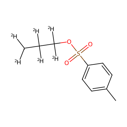 [2H][C]([2H])C([2H])([2H])C([2H])([2H])OS(=O)(=O)c1ccc(C)cc1